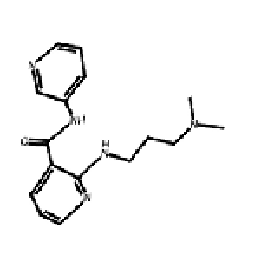 CN(C)CCCNc1ncccc1C(=O)Nc1cccnc1